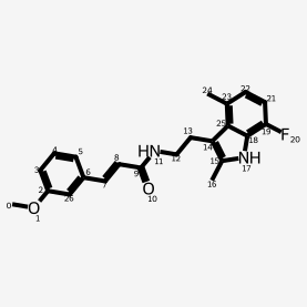 COc1cccc(C=CC(=O)NCCc2c(C)[nH]c3c(F)ccc(C)c23)c1